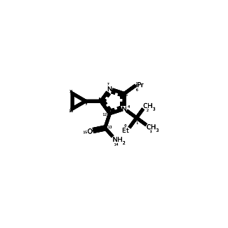 CCC(C)(C)n1c(C(C)C)nc(C2CC2)c1C(N)=O